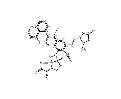 C=C(F)C(=O)N1CC[C@@H]2[C@H]1CN2c1c(C#N)c(OC[C@@H]2C[C@@H](F)CN2C)nc2c(F)c(-c3cccc4cccc(Cl)c34)ncc12